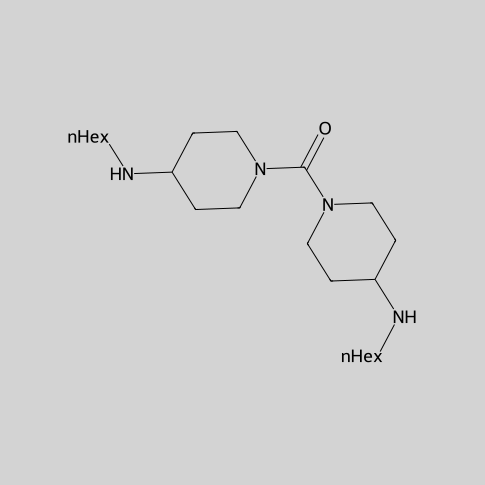 CCCCCCNC1CCN(C(=O)N2CCC(NCCCCCC)CC2)CC1